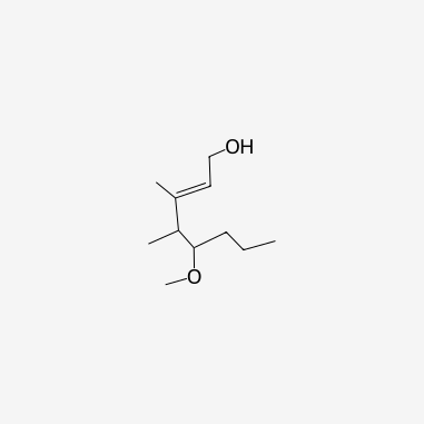 CCCC(OC)C(C)C(C)=CCO